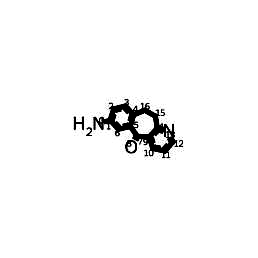 Nc1ccc2c(c1)C(=O)c1cccnc1CC2